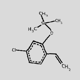 C=Cc1ccc(Cl)cc1O[Si](C)(C)C